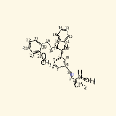 C=C(/C=C/c1cccc(-c2nc3ccccc3n2CCc2ccccc2OC)c1)NO